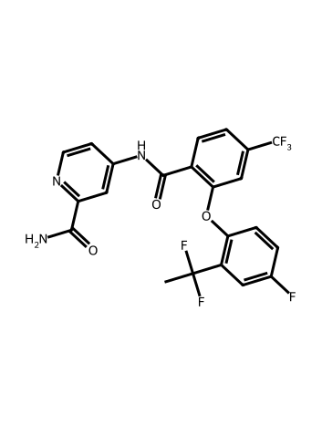 CC(F)(F)c1cc(F)ccc1Oc1cc(C(F)(F)F)ccc1C(=O)Nc1ccnc(C(N)=O)c1